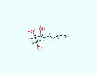 CCCCCCCCCCC(O)C(C)(O)C(C)(C)O